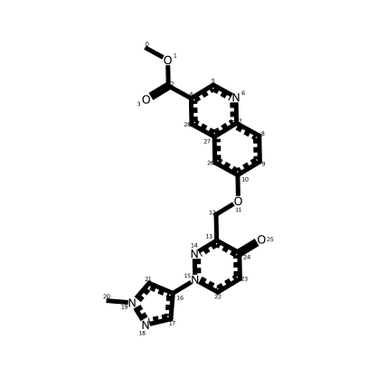 COC(=O)c1cnc2ccc(OCc3nn(-c4cnn(C)c4)ccc3=O)cc2c1